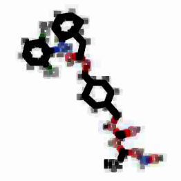 CC(ON=O)OC(=O)OCC1CCC(COC(=O)Cc2ccccc2Nc2c(Cl)cccc2Cl)CC1